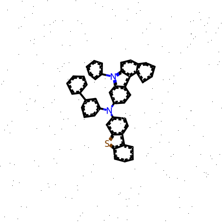 c1ccc(-c2cccc(N(c3ccc4c(c3)sc3ccccc34)c3ccc4c5c6ccccc6ccc5n(-c5ccccc5)c4c3)c2)cc1